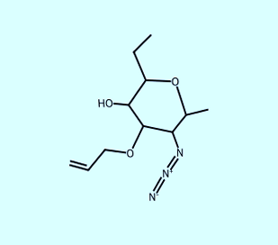 C=CCOC1C(O)C(CC)OC(C)C1N=[N+]=[N-]